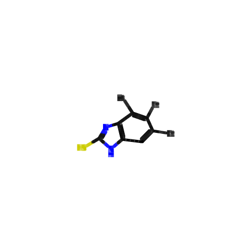 CCc1cc2[nH]c(S)nc2c(CC)c1CC